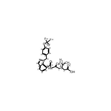 C=C(C[C@H](CC(=O)O)C(C)C)NC(=O)c1cccc2cnn(Cc3ccc(OC(F)(F)F)cc3)c12